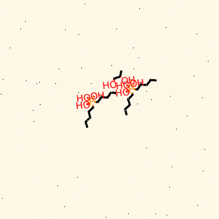 CC(O)CO.CCCCCP(O)(O)(O)CCCCC.CCCCCP(O)(O)(O)CCCCC